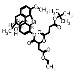 CCOC(=O)CC(OC(=O)CCC(=O)OC(C)(C)C)C(=O)OC1=CC[C@@]2(O)[C@H]3Cc4ccc(OC)c5c4[C@@]2(CCN3C)[C@H]1O5